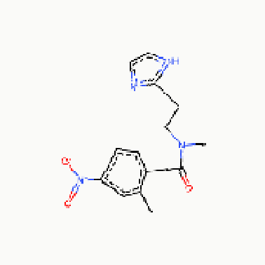 Cc1cc([N+](=O)[O-])ccc1C(=O)N(C)CCc1ncc[nH]1